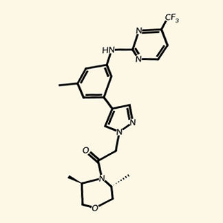 Cc1cc(Nc2nccc(C(F)(F)F)n2)cc(-c2cnn(CC(=O)N3[C@H](C)COC[C@H]3C)c2)c1